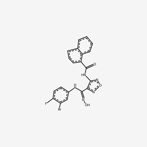 O=C(Nc1nonc1/C(=N\O)Nc1ccc(F)c(Br)c1)c1cccc2ccccc12